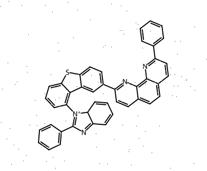 C1=CC2=NC(c3ccccc3)=[N+](c3cccc4sc5ccc(-c6ccc7ccc8ccc(-c9ccccc9)nc8c7n6)cc5c34)C2C=C1